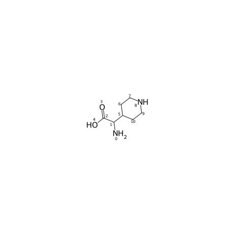 NC(C(=O)O)C1CCNCC1